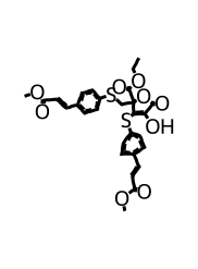 CCOC(=O)C1(CSc2ccc(C=CC(=O)OC)cc2)OC(=O)C(O)=C1Sc1ccc(C=CC(=O)OC)cc1